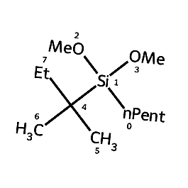 CCCCC[Si](OC)(OC)C(C)(C)CC